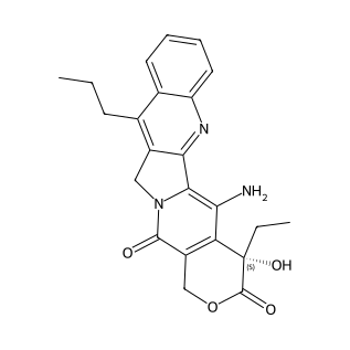 CCCc1c2c(nc3ccccc13)-c1c(N)c3c(c(=O)n1C2)COC(=O)[C@]3(O)CC